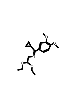 CCOC(CN=C(c1ccc(OC)c(OC)c1)C1CC1)OCC